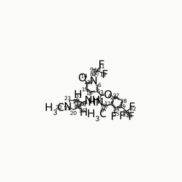 C[C@@H](NC(=O)c1cn([C@H]2CC2(F)F)c(=O)cc1N[C@H]1[C@@H]2CN(C)C[C@@H]21)c1cccc(C(F)(F)F)c1F